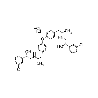 C[C@H](Cc1ccc(Oc2ccc(C[C@@H](C)NC[C@H](O)c3cccc(Cl)c3)cc2)cc1)NC[C@H](O)c1cccc(Cl)c1.Cl.Cl